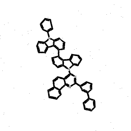 c1ccc(-c2cccc(-c3nc(-n4c5ccccc5c5c(-c6cccc7c6c6ccccc6n7-c6ccccc6)cccc54)c4ccc5ccccc5c4n3)c2)cc1